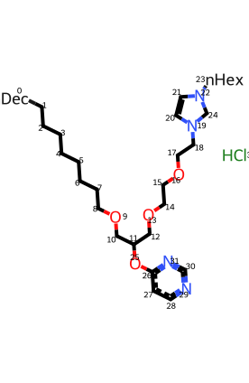 CCCCCCCCCCCCCCCCCCOCC(COCCOCCN1C=CN(CCCCCC)C1)Oc1ccncn1.Cl